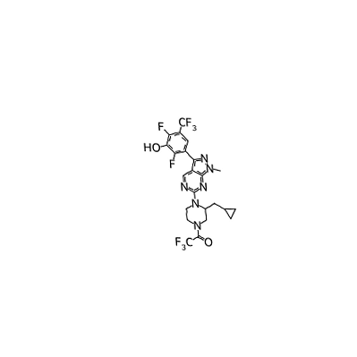 Cn1nc(-c2cc(C(F)(F)F)c(F)c(O)c2F)c2cnc(N3CCN(C(=O)C(F)(F)F)CC3CC3CC3)nc21